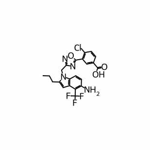 CCCc1cc2c(C(F)(F)F)c(N)ccc2n1Cc1noc(-c2cc(C(=O)O)ccc2Cl)n1